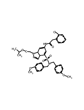 COc1ccc(CN(Cc2ccc(OC)cc2)S(=O)(=O)C2=CC(NC(=O)Cc3ccccc3Cl)=CC3C2C=NN3CCOC(C)C)cc1